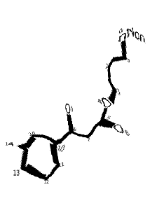 CCCCCCCCCCCCOC(=O)CC(=O)c1ccccc1